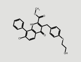 COC(=O)c1[nH]c2c(-c3ccccc3)c(Cl)ccc2c(=O)c1Cc1ccc(SCCO)cc1